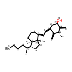 C=C1/C(=C\C=C2/CCC[C@]3(C)[C@@H]([C@@H](C)CCCC(C)(C)C)CC[C@@H]23)C[C@@H](O)C(=C)[C@@H]1C